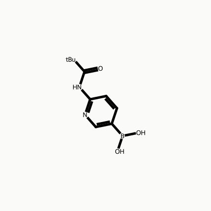 CC(C)(C)C(=O)Nc1ccc(B(O)O)cn1